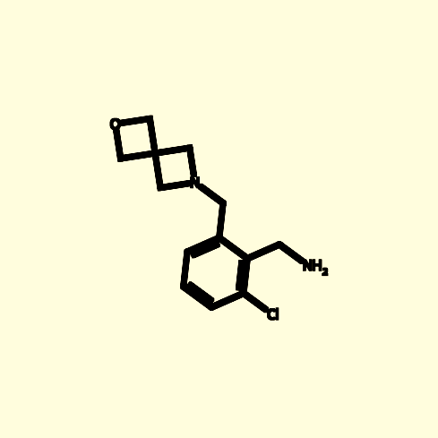 NCc1c(Cl)cccc1CN1CC2(COC2)C1